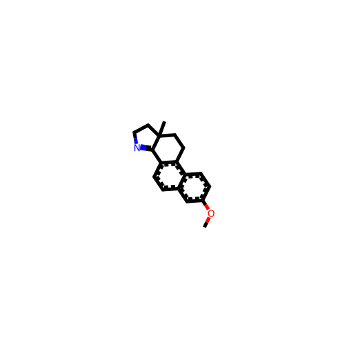 COc1ccc2c3c(ccc2c1)C1=NCCC1(C)CC3